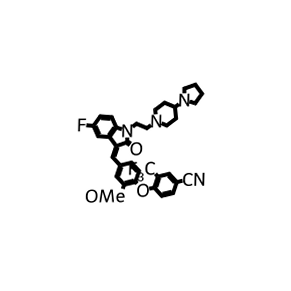 COc1cc(C=C2C(=O)N(CCN3CCC(N4CCCC4)CC3)c3ccc(F)cc32)ccc1Oc1ccc(C#N)cc1C(F)(F)F